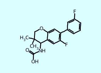 CC1(C)COc2cc(-c3cccc(F)c3)c(F)cc2C1NC(=O)O